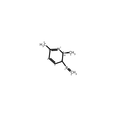 C=BC1C=CC(C)=N[C@H]1C